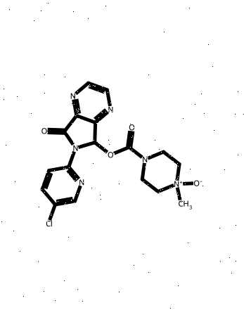 C[N+]1([O-])CCN(C(=O)OC2c3nccnc3C(=O)N2c2ccc(Cl)cn2)CC1